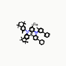 CCCCc1cc2c3c(c1)N(c1cc4c(cc1C)C(C)(C)CCC4(C)C)c1cc4c(cc1B3c1ccc(-c3ccccc3)cc1N2c1cc(-c2ccccc2)ccc1C)C(C)(C)CC4(C)C